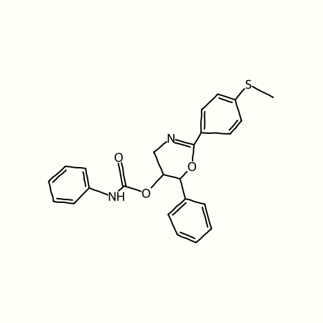 CSc1ccc(C2=NCC(OC(=O)Nc3ccccc3)C(c3ccccc3)O2)cc1